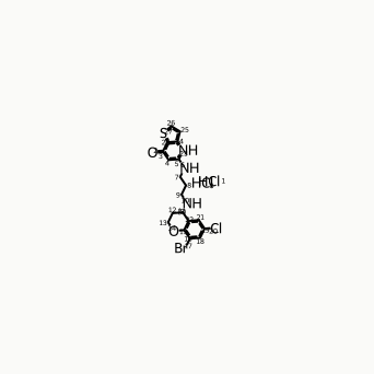 Cl.Cl.O=c1cc(NCCCN[C@H]2CCOc3c(Br)cc(Cl)cc32)[nH]c2ccsc12